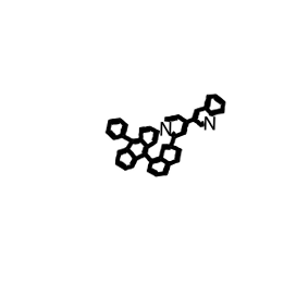 c1ccc(-c2c3ccccc3c(-c3cccc4ccc(-c5cc(-c6cnc7ccccc7c6)ccn5)cc34)c3ccccc23)cc1